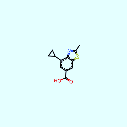 Cc1nc2c(C3CC3)cc(C(=O)O)cc2s1